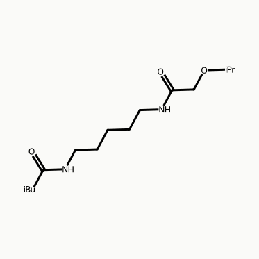 CCC(C)C(=O)NCCCCCNC(=O)COC(C)C